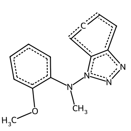 COc1ccccc1N(C)n1nnc2ccccc21